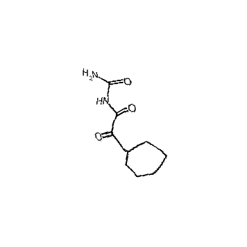 NC(=O)NC(=O)C(=O)C1CCCCC1